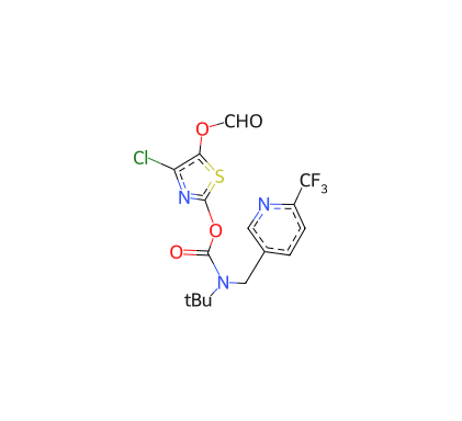 CC(C)(C)N(Cc1ccc(C(F)(F)F)nc1)C(=O)Oc1nc(Cl)c(OC=O)s1